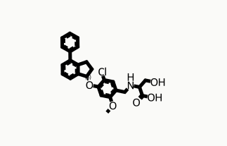 COc1cc(O[C@H]2CCc3c(-c4ccccc4)cccc32)c(Cl)cc1CNC(CO)C(=O)O